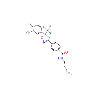 CCCCNC(=O)c1ccc(C2=NOC(c3ccc(Cl)c(Cl)c3)(C(F)(F)F)C2)cc1